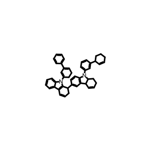 C1=CC(c2cccc(N3c4ccc(C5CC=Cc6c5n(C5=CC(c7ccccc7)=CCC5)c5ccccc65)cc4C4C=CCCC43)c2)CCC1